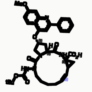 COc1ccc2c(O[C@@H]3C[C@H]4C(=O)N[C@]5(C(=O)O)CC5/C=C\CCCCN(NC(=O)OC(C)(C)C)C(=O)N4C3)cc(-c3ccccc3)nc2c1